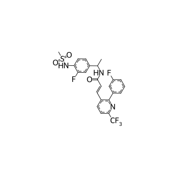 CC(NC(=O)C=Cc1ccc(C(F)(F)F)nc1-c1cccc(F)c1)c1ccc(NS(C)(=O)=O)c(F)c1